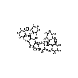 c1ccc2c(c1)Oc1ccccc1B2c1ccc2oc3ccc(B4c5ccccc5Oc5ccccc54)cc3c2c1